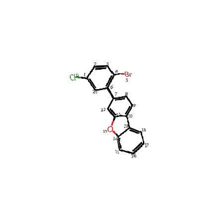 Clc1ccc(Br)c(-c2ccc3c(c2)oc2ccccc23)c1